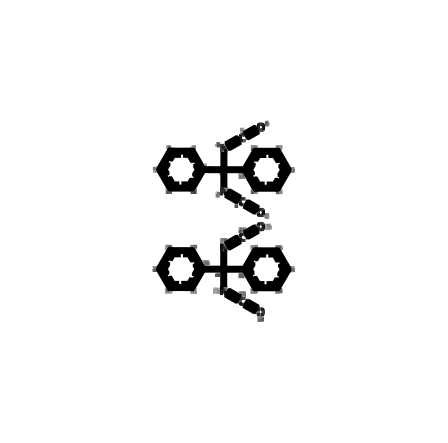 O=C=NC(N=C=O)(c1ccccc1)c1ccccc1.O=C=NC(N=C=O)(c1ccccc1)c1ccccc1